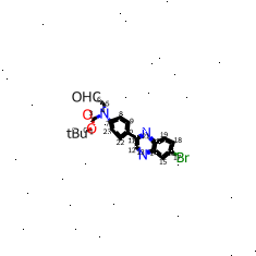 CC(C)(C)OC(=O)N(CC=O)c1ccc(-c2cnc3cc(Br)ccc3n2)cc1